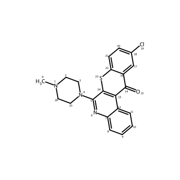 CN1CCN(c2nc3ccccc3c3c(=O)c4cc(Cl)ccc4sc23)CC1